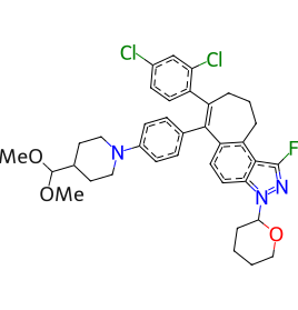 COC(OC)C1CCN(c2ccc(C3=C(c4ccc(Cl)cc4Cl)CCCc4c3ccc3c4c(F)nn3C3CCCCO3)cc2)CC1